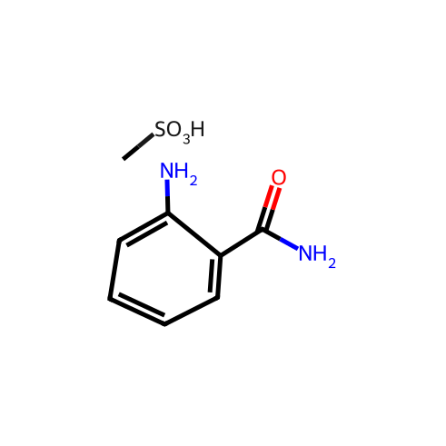 CS(=O)(=O)O.NC(=O)c1ccccc1N